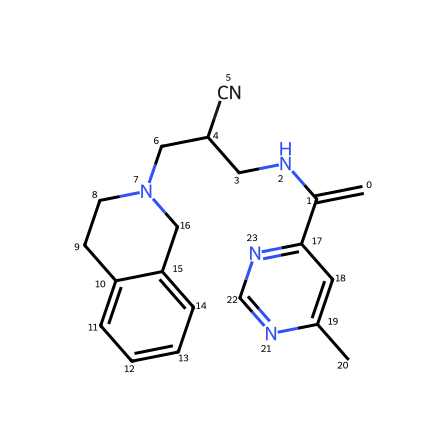 C=C(NCC(C#N)CN1CCc2ccccc2C1)c1cc(C)ncn1